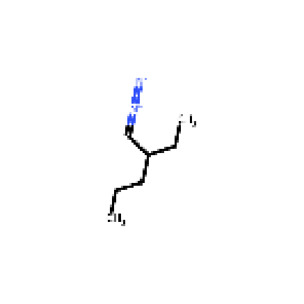 CCCC(C=[N+]=[N-])CC